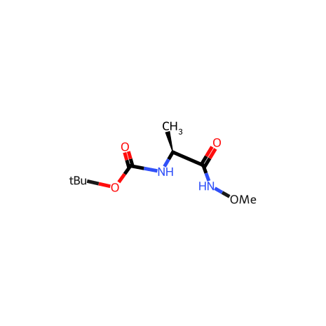 CONC(=O)[C@H](C)NC(=O)OC(C)(C)C